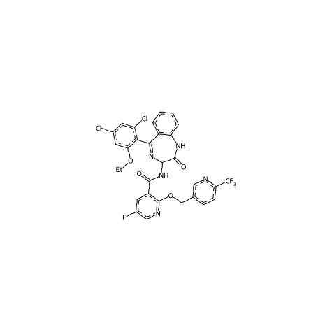 CCOc1cc(Cl)cc(Cl)c1C1=NC(NC(=O)c2cc(F)cnc2OCc2ccc(C(F)(F)F)nc2)C(=O)Nc2ccccc21